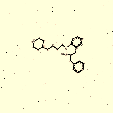 O=C(O)C(Cc1ccccc1)Cc1ccccc1OCCCCC1CCNCC1